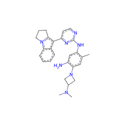 Cc1cc(N2CC(N(C)C)C2)c(N)cc1Nc1nccc(-c2c3n(c4ccccc24)CCC3)n1